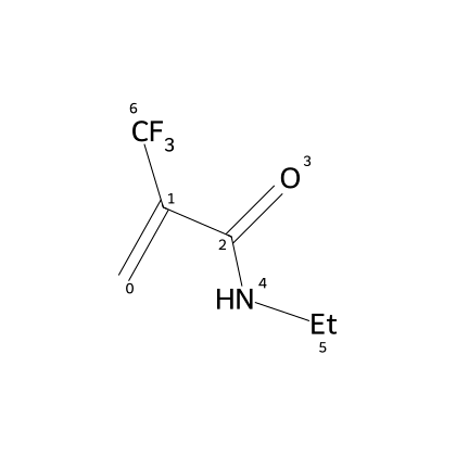 C=C(C(=O)NCC)C(F)(F)F